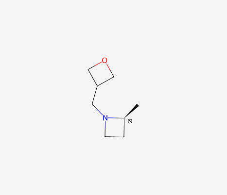 C[C@H]1CCN1CC1COC1